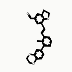 Cc1c(/C=C/c2cc(C=O)cc3c2OCC3)cccc1-c1ccc2c(c1)OCCO2